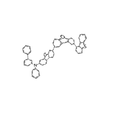 c1ccc(-c2cccc(N(c3ccccc3)c3ccc4c(c3)oc3cc(-c5ccc6oc7ccc(-c8cccc9sc%10ccccc%10c89)cc7c6c5)ccc34)c2)cc1